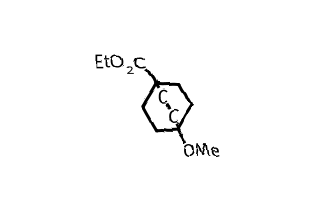 CCOC(=O)C12CCC(OC)(CC1)CC2